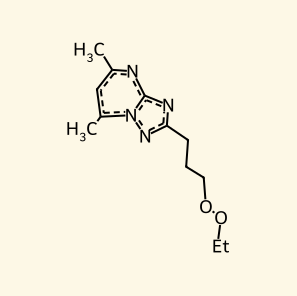 CCOOCCCc1nc2nc(C)cc(C)n2n1